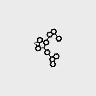 c1ccc(-c2cccc3ccc(-c4ccc(N(c5ccc(-c6cc7ccccc7c7ccccc67)cc5)c5cccc6oc7ccccc7c56)cc4)cc23)cc1